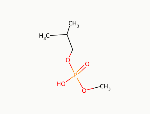 COP(=O)(O)OCC(C)C